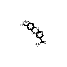 CCCCCCNc1ccc(Oc2ccc(C(N)=O)cn2)c(OC)c1